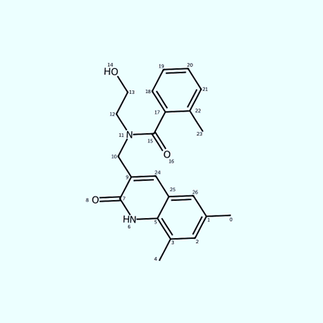 Cc1cc(C)c2[nH]c(=O)c(CN(CCO)C(=O)c3ccccc3C)cc2c1